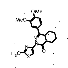 COc1ccc(C2=NN(c3csc(C)n3)C(=O)C3CCCCC23)cc1OC